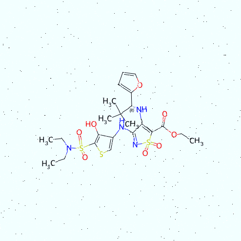 CCOC(=O)C1=C(N[C@@H](c2ccco2)C(C)(C)C)C(Nc2csc(S(=O)(=O)N(CC)CC)c2O)=NS1(=O)=O